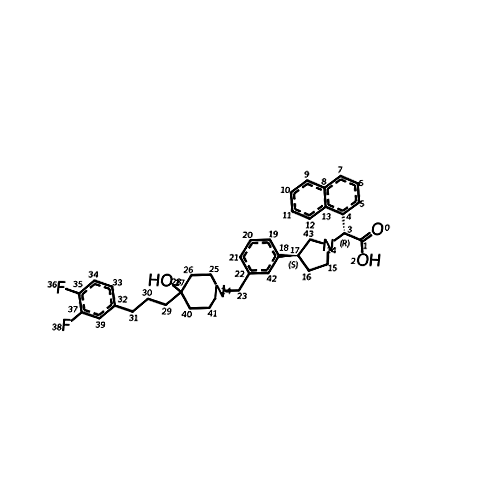 O=C(O)[C@@H](c1cccc2ccccc12)N1CC[C@@H](c2cccc(CN3CCC(O)(CCCc4ccc(F)c(F)c4)CC3)c2)C1